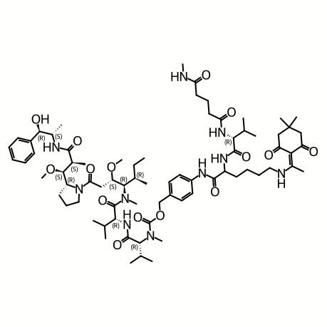 CC[C@@H](C)[C@H]([C@H](CC(=O)N1CCC[C@@H]1[C@@H](OC)[C@H](C)C(=O)N[C@@H](C)[C@H](O)c1ccccc1)OC)N(C)C(=O)[C@H](NC(=O)[C@@H](C(C)C)N(C)C(=O)OCc1ccc(NC(=O)C(CCCCNC(C)=C2C(=O)CC(C)(C)CC2=O)NC(=O)[C@H](NC(=O)CCCC(=O)NC)C(C)C)cc1)C(C)C